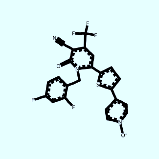 N#Cc1c(C(F)(F)F)cc(-c2ccc(-c3cc[n+]([O-])cc3)s2)n(Cc2ccc(F)cc2F)c1=O